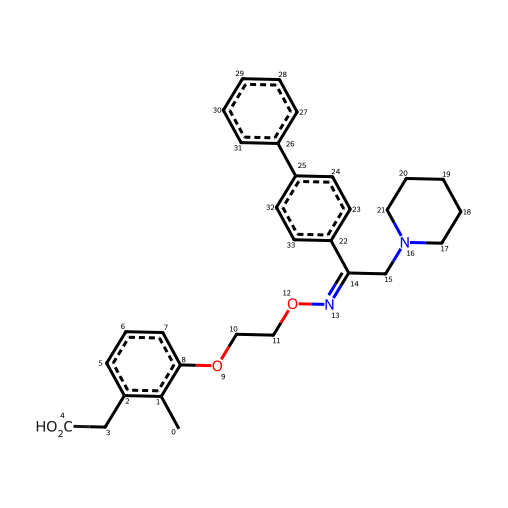 Cc1c(CC(=O)O)cccc1OCCON=C(CN1CCCCC1)c1ccc(-c2ccccc2)cc1